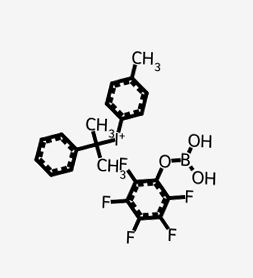 Cc1ccc([I+]C(C)(C)c2ccccc2)cc1.OB(O)Oc1c(F)c(F)c(F)c(F)c1F